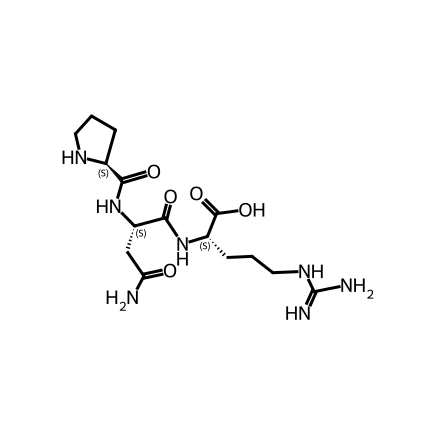 N=C(N)NCCC[C@H](NC(=O)[C@H](CC(N)=O)NC(=O)[C@@H]1CCCN1)C(=O)O